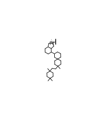 CC1(C)CCC(C)(CCC2(C)CCC3(CCCC(C4CCCC5C[C@@](C)(I)CC54)C3)CC2)CC1